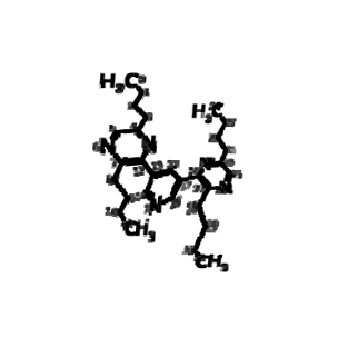 CCCCc1cnc(CCCC)c(-c2cncc(-c3nc(CCCC)cnc3CCCC)c2)n1